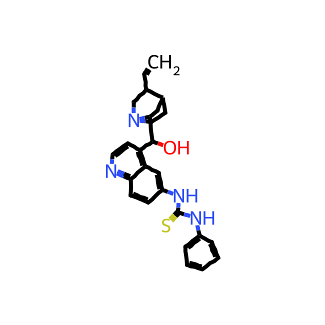 C=CC1CN2CCC1CC2C(O)c1ccnc2ccc(NC(=S)Nc3ccccc3)cc12